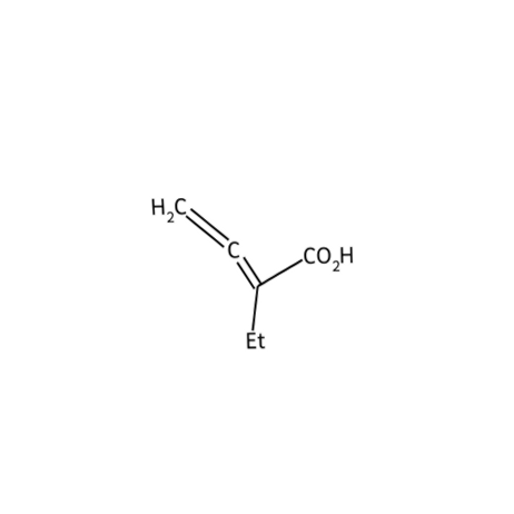 C=C=C(CC)C(=O)O